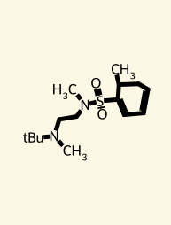 CC1CC=CC=C1S(=O)(=O)N(C)CCN(C)C(C)(C)C